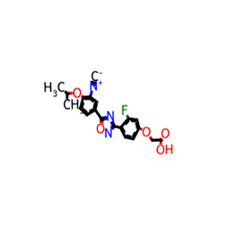 [C-]#[N+]c1cc(-c2nc(-c3ccc(OCC(=O)O)cc3F)no2)ccc1OC(C)C